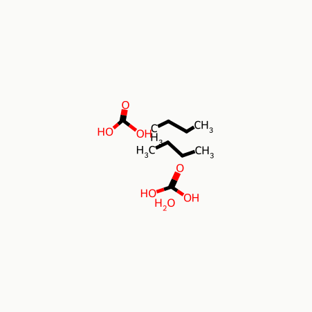 CCCC.CCCC.O.O=C(O)O.O=C(O)O